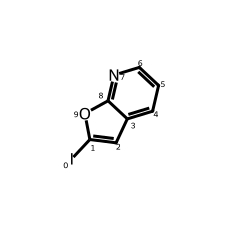 Ic1cc2cccnc2o1